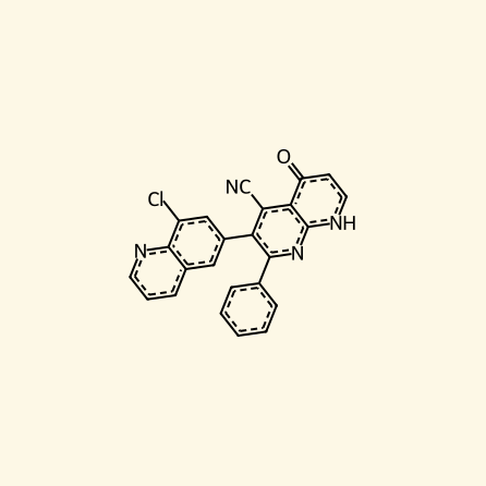 N#Cc1c(-c2cc(Cl)c3ncccc3c2)c(-c2ccccc2)nc2[nH]ccc(=O)c12